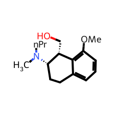 CCCN(C)[C@H]1CCc2cccc(OC)c2[C@H]1CO